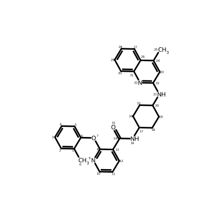 Cc1ccccc1Oc1ncccc1C(=O)NC1CCC(Nc2cc(C)c3ccccc3n2)CC1